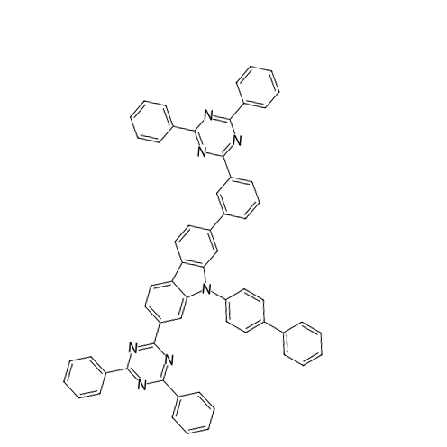 c1ccc(-c2ccc(-n3c4cc(-c5cccc(-c6nc(-c7ccccc7)nc(-c7ccccc7)n6)c5)ccc4c4ccc(-c5nc(-c6ccccc6)nc(-c6ccccc6)n5)cc43)cc2)cc1